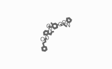 Cc1cc(OC[C@@H]2CN(C)c3ccccc3O2)ccc1C(=O)n1c(C)cc2c(OC(=O)CCc3ccccc3)cccc21